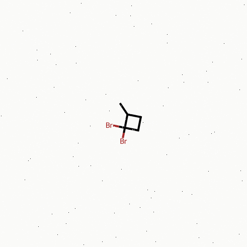 CC1CCC1(Br)Br